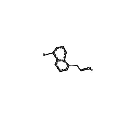 C=CCc1cccc2c(Br)cccc12